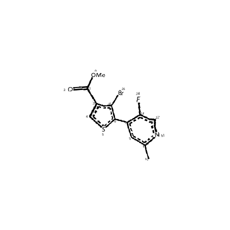 COC(=O)c1csc(-c2cc(C)ncc2F)c1Br